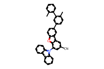 Cc1ccccc1-c1cc(-c2ccc3oc4c(-n5c6ccccc6c6ccccc65)cc(C#N)cc4c3c2)ccc1C